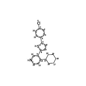 Clc1ccc(-c2ccc(-c3cnccc3C3CCCCC3)s2)cc1